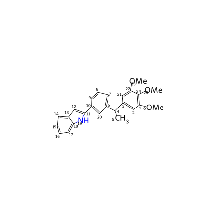 COc1cc(C(C)c2cccc(-c3cc4ccccc4[nH]3)c2)cc(OC)c1OC